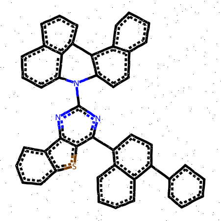 c1ccc(-c2ccc(-c3nc(N4c5ccc6ccccc6c5-c5cccc6cccc4c56)nc4c3sc3ccccc34)c3ccccc23)cc1